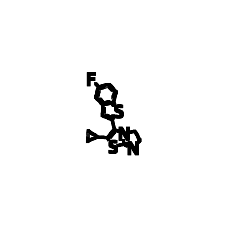 Fc1ccc2sc(C3=C(C4CC4)SC4=NCCN43)cc2c1